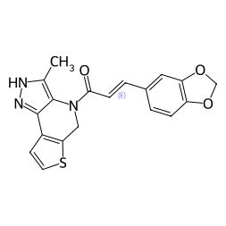 Cc1[nH]nc2c1N(C(=O)/C=C/c1ccc3c(c1)OCO3)Cc1sccc1-2